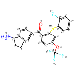 NC1CCc2cc(C(=O)c3ccc(OC(F)(F)F)cc3Sc3ccccc3F)ccc21